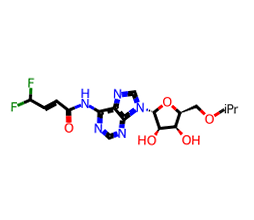 CC(C)OC[C@@H]1O[C@@H](n2cnc3c(NC(=O)/C=C/C(F)F)ncnc32)[C@H](O)[C@@H]1O